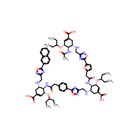 CCC(CC)O[C@@H]1C=C(C(=O)O)C[C@H](NCc2noc(-c3ccc(CC(=O)N[C@@H]4[C@@H](NCc5noc(-c6ccc(CC(=O)N[C@@H]7[C@@H](NCc8noc(-c9ccc%10ccccc%10c9)n8)CC(C(=O)O)=C[C@H]7OC(CC)CC)cc6)n5)CC(C(=O)O)=C[C@H]4OC(CC)CC)o3)n2)[C@H]1NC(C)=O